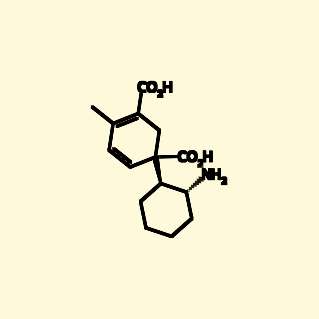 CC1=C(C(=O)O)CC(C(=O)O)([C@@H]2CCCC[C@H]2N)C=C1